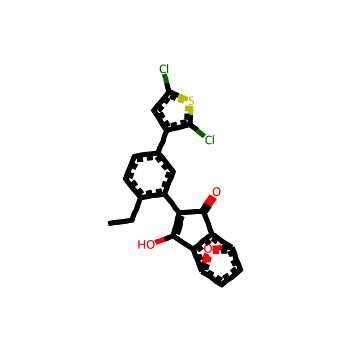 CCc1ccc(-c2cc(Cl)sc2Cl)cc1C1=C(O)c2c(c3ccc2o3)C1=O